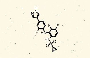 O=S(=O)(Nc1ccc(F)c(F)c1Nc1ccc(-c2cn[nH]c2)cc1F)C1CC1